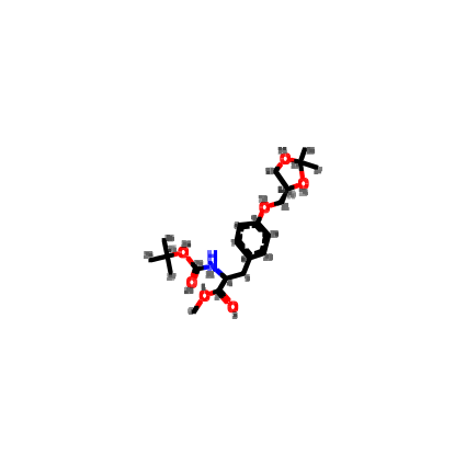 COC(=O)C(Cc1ccc(OC[C@H]2COC(C)(C)O2)cc1)NC(=O)OC(C)(C)C